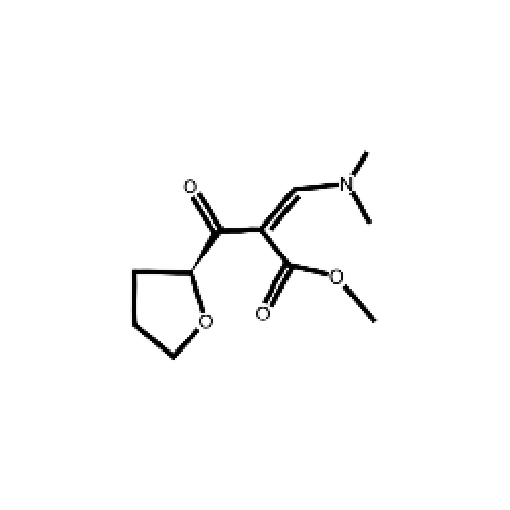 COC(=O)/C(=C\N(C)C)C(=O)[C@@H]1CCCO1